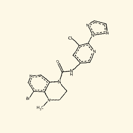 CN1CCN(C(=O)Nc2cnc(-n3nccn3)c(Cl)c2)c2cncc(Br)c21